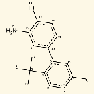 Cc1ccc(C(C)(C)C)c(-c2ccc(O)c(N)c2)c1